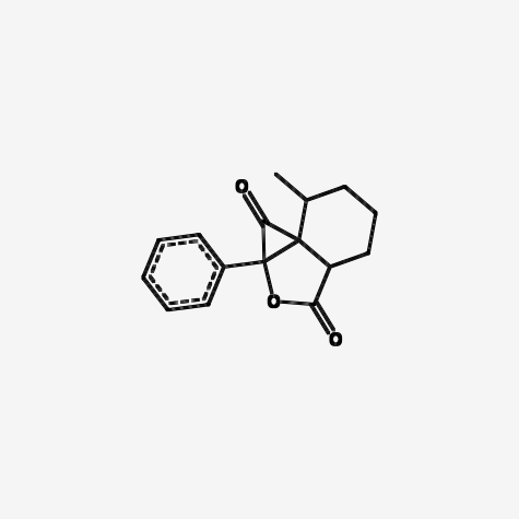 CC1CCCC2C(=O)OC3(c4ccccc4)C(=O)C123